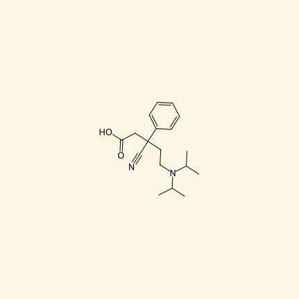 CC(C)N(CCC(C#N)(CC(=O)O)c1ccccc1)C(C)C